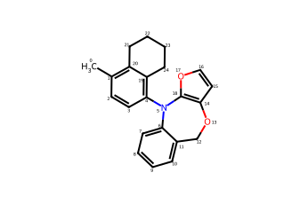 Cc1ccc(N2c3ccccc3COc3ccoc32)c2c1CCCC2